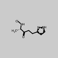 C[C@H](NCl)C(=O)CCc1cc[nH]n1